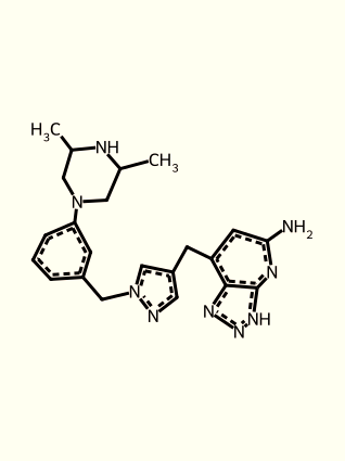 CC1CN(c2cccc(Cn3cc(Cc4cc(N)nc5[nH]nnc45)cn3)c2)CC(C)N1